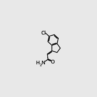 NC(=O)C=C1CCc2ccc(Cl)cc21